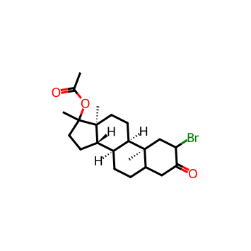 CC(=O)OC1(C)CC[C@H]2[C@@H]3CCC4CC(=O)C(Br)C[C@]4(C)[C@@H]3CC[C@@]21C